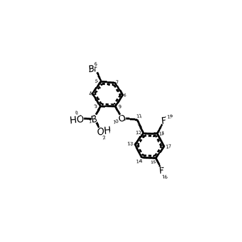 OB(O)c1cc(Br)ccc1OCc1ccc(F)cc1F